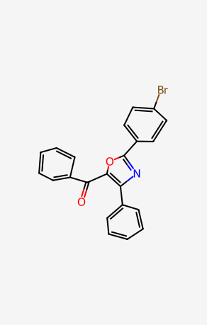 O=C(c1ccccc1)c1oc(-c2ccc(Br)cc2)nc1-c1ccccc1